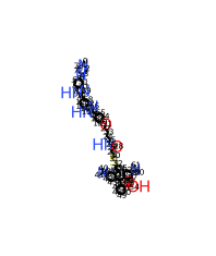 CN1CCN(c2ccc3[nH]c(-c4ccc5[nH]c(-c6ccc(OCCCCNC(=O)CCSCC[Si]7(C)C8=CC(=[N+](C)C)C=CC8=C(c8ccccc8C(=O)O)c8ccc(N(C)C)cc87)cc6)nc5c4)nc3c2)CC1